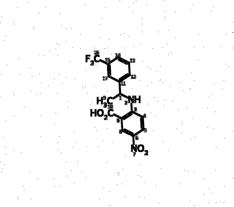 CC(Nc1ccc([N+](=O)[O-])cc1C(=O)O)c1cccc(C(F)(F)F)c1